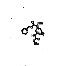 CCCC[C@@H](C(=O)OCc1ccccc1)N(CC1CC1)C[C@@H](C)NC(=O)OC(C)(C)C